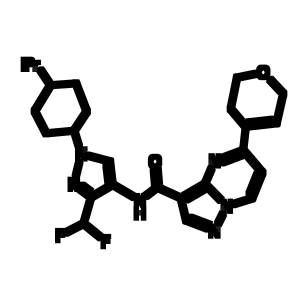 CC(C)C1CCC(n2cc(NC(=O)c3cnn4ccc(C5=CCOCC5)nc34)c(C(F)F)n2)CC1